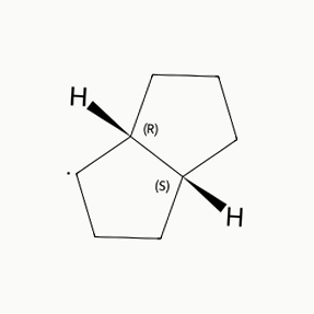 [CH]1CC[C@H]2CCC[C@@H]12